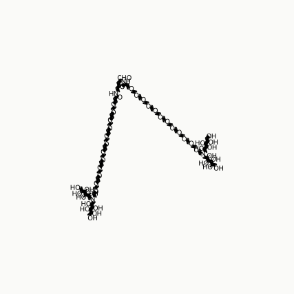 O=C[C@H](CCCCNC(=O)CCOCCOCCOCCOCCOCCOCCOCCOCCOCCOCCOCCOCCN(C[C@H](O)[C@@H](O)[C@H](O)[C@H](O)CO)C[C@H](O)[C@@H](O)[C@H](O)[C@H](O)CO)NC(=O)CCOCCOCCOCCOCCOCCOCCOCCOCCOCCOCCOCCOCCN(C[C@H](O)[C@@H](O)[C@H](O)[C@H](O)CO)C[C@H](O)[C@@H](O)[C@H](O)[C@H](O)CO